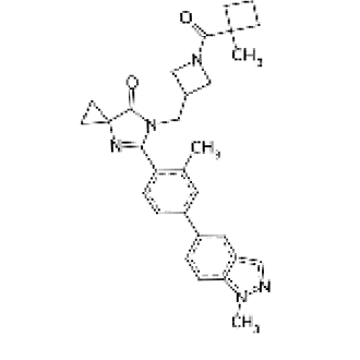 Cc1cc(-c2ccc3c(cnn3C)c2)ccc1C1=NC2(CC2)C(=O)N1CC1CN(C(=O)C2(C)CCC2)C1